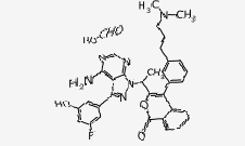 CC(c1oc(=O)c2ccccc2c1-c1cccc(CCCN(C)C)c1)n1nc(-c2cc(O)cc(F)c2)c2c(N)ncnc21.O=CO